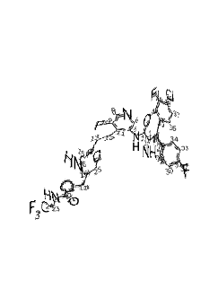 N[C@H](C(=O)Nc1cncc(F)c1CC[C@@H]1CN[C@H](COC(=O)NCC(F)(F)F)CO1)[C@H](c1ccc(F)cc1)c1ccc(Cl)c(F)c1